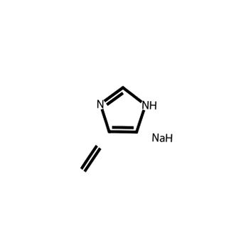 C=C.[NaH].c1c[nH]cn1